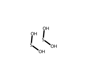 OSO.OSO